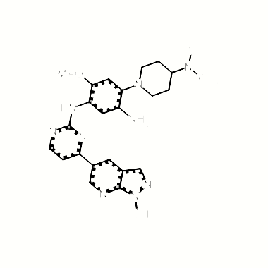 COc1cc(N2CCC(N(C)C)CC2)c(N)cc1Nc1nccc(-c2cnc3c(cnn3C)c2)n1